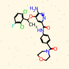 CC(Oc1cc(C(=O)Nc2ccc(C(=O)N3CCOCC3)cc2)nnc1N)c1c(Cl)ccc(F)c1Cl